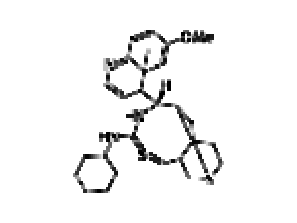 COC1=CC2(C)C(=NC=CC2[C@H]2NC(NC3CCCCC3)=S=CC3CN4CCC3CC24)C=C1